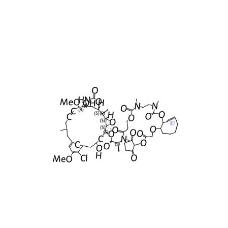 COC1=C(Cl)C2CC(=C1)CC(C)CCC[C@@H](OC)[C@@]1(O)C[C@H](OC(=O)N1)[C@@H](C)[C@@H]1O[C@@]1(C)[C@@H](OC(=O)[C@H](C)N(C)C(=O)CCOC(=O)N(C)CCN(C)C(=O)OC1/C=C/CCCCC1OCC(=O)OC1C(=O)CCC1=O)CC(O)C2